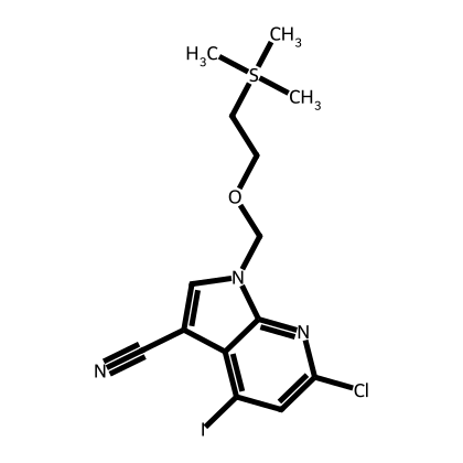 CS(C)(C)CCOCn1cc(C#N)c2c(I)cc(Cl)nc21